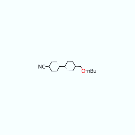 CCCCOC[C@H]1CC[C@H]([C@H]2CC[C@H](C#N)CC2)CC1